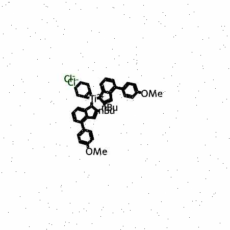 CCCCC1=Cc2c(-c3ccc(OC)cc3)cccc2[CH]1[Ti+2]1([CH]2C(CCCC)=Cc3c(-c4ccc(OC)cc4)cccc32)[CH]2CCCC[CH]21.[Cl-].[Cl-]